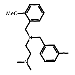 COc1ccccc1CN(CCN(C)C)Cc1cccc(C)c1